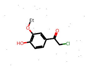 CCOc1cc(C(=O)CCl)ccc1O